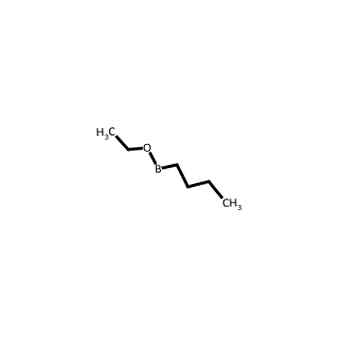 CCCC[B]OCC